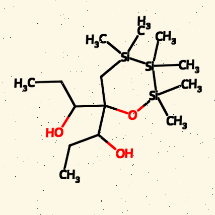 CCC(O)C1(C(O)CC)C[Si](C)(C)[Si](C)(C)[Si](C)(C)O1